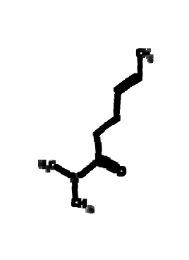 CC=CCCC(=O)N(C)C